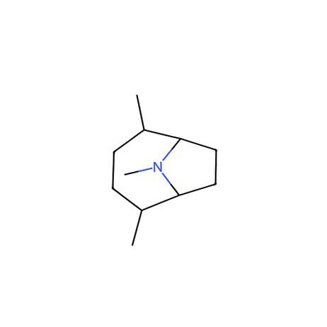 CC1CCC(C)C2CCC1N2C